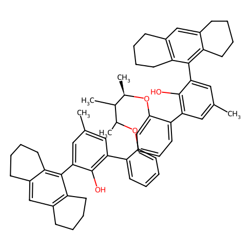 Cc1cc(-c2ccccc2OC(C)C(C)[C@@H](C)Oc2ccccc2-c2cc(C)cc(-c3c4c(cc5c3CCCC5)CCCC4)c2O)c(O)c(-c2c3c(cc4c2CCCC4)CCCC3)c1